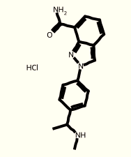 CNC(C)c1ccc(-n2cc3cccc(C(N)=O)c3n2)cc1.Cl